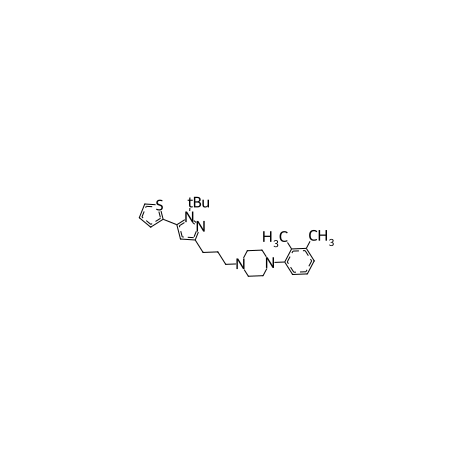 Cc1cccc(N2CCN(CCCc3cc(-c4cccs4)n(C(C)(C)C)n3)CC2)c1C